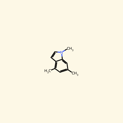 Cc1cc(C)c2ccn(C)c2c1